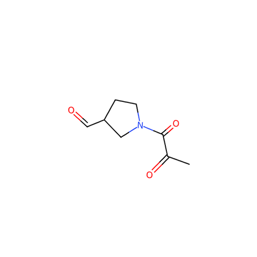 CC(=O)C(=O)N1CCC(C=O)C1